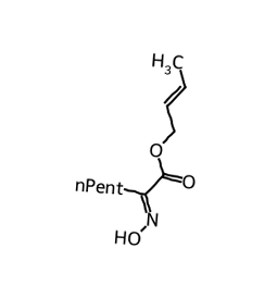 C/C=C/COC(=O)/C(CCCCC)=N/O